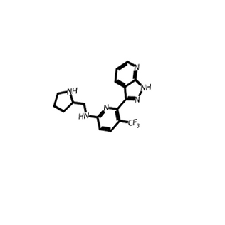 FC(F)(F)c1ccc(NCC2CCCN2)nc1-c1n[nH]c2ncccc12